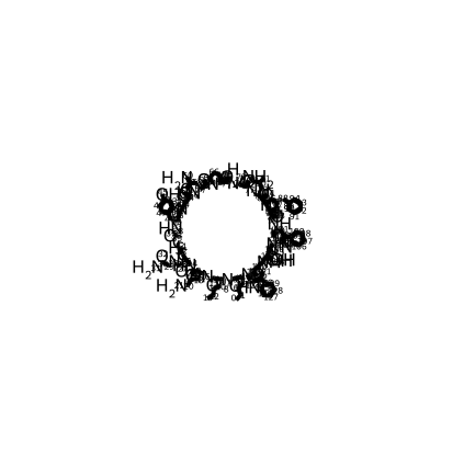 CCCC[C@H]1C(=O)N(C)[C@@H](CCCC)C(=O)N[C@@H](CCCN)C(=O)N[C@H](C(=O)NCC(N)=O)CSCC(=O)N[C@@H](Cc2ccc(O)cc2)C(=O)N(C)[C@@H](C)C(=O)N[C@@H](CC(N)=O)C(=O)N2CCC[C@H]2C(=O)N[C@@H](CN)C(=O)N[C@@H](CC(C)C)C(=O)N2C[C@H](Cc3ccccc3)C[C@H]2C(=O)N[C@@H](Cc2c[nH]c3ccccc23)C(=O)N[C@@H](CO)C(=O)N[C@@H](Cc2c[nH]c3ccccc23)C(=O)N1C